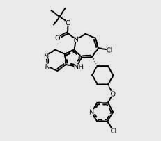 CC(C)(C)OC(=O)N1CC=C(Cl)C([C@H]2CC[C@H](Oc3cncc(Cl)c3)CC2)=c2[nH]c3c(c21)CN=NC=3